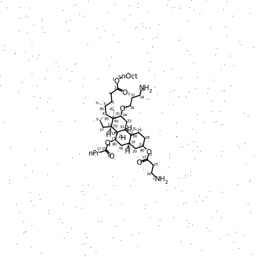 CCCCCCCCOC(=O)CC[C@@H](C)[C@H]1CC[C@H]2[C@@H]3[C@H](OC(=O)CCC)C[C@H]4C[C@H](OC(=O)CCN)CC[C@]4(C)[C@H]3C[C@H](OCCCN)[C@]12C